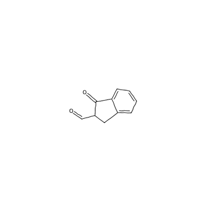 O=CC1Cc2ccccc2C1=O